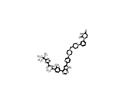 Cc1cc(-c2ncnc3[nH]c(-c4ccc(N5CCN(CC6CCN(c7cccc(N8CCC(=O)NC8=O)c7)CC6)CC5)cn4)cc23)ccc1C(C)NC(=O)c1nc(C(C)(C)C)no1